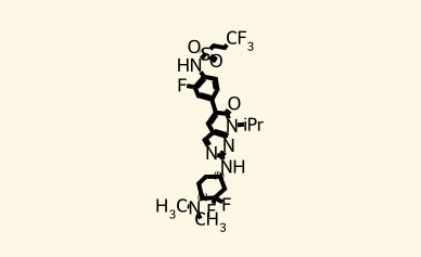 CC(C)n1c(=O)c(-c2ccc(NS(=O)(=O)CCC(F)(F)F)c(F)c2)cc2cnc(N[C@@H]3CC[C@@H](N(C)C)C(F)(F)C3)nc21